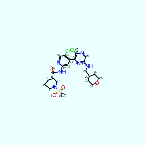 CCS(=O)(=O)N1CCC[C@H](C(=O)Nc2cc(-c3nc(NCC4CCOCC4)cnc3Cl)c(Cl)cn2)C1